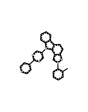 Cc1ccccc1-n1cc2c(ccc3c4ccccc4n(-c4cnc(-c5ccncc5)nc4)c23)n1